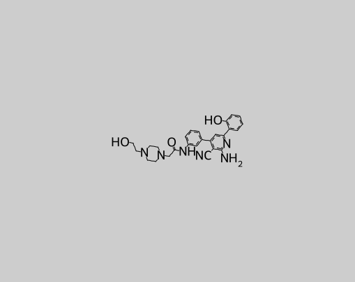 N#Cc1c(-c2cccc(NC(=O)CN3CCN(CCO)CC3)c2)cc(-c2ccccc2O)nc1N